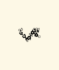 COC(=O)N1CC[C@@H](N2CCC(c3cn(C)c4ncc(-c5nc6cc(C)c([C@H](OC(C)(C)C)C(=O)O)c(-c7ccc(Cl)cc7)c6s5)cc34)CC2)C1